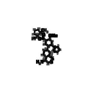 COc1cc(-n2cccn2)c(-c2ccc3c(N)cnnc3c2)cc1B1OC2(C(C)C)CCC[C@]2(C)O1